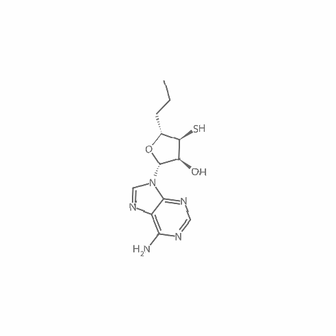 CCC[C@H]1O[C@@H](n2cnc3c(N)ncnc32)[C@H](O)[C@@H]1S